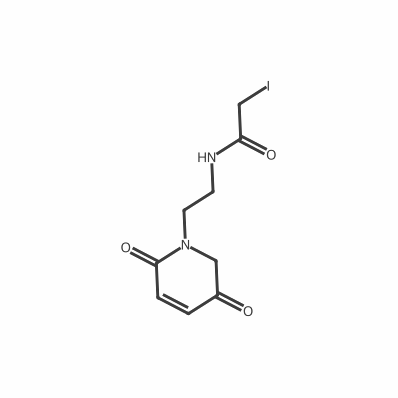 O=C1C=CC(=O)N(CCNC(=O)CI)C1